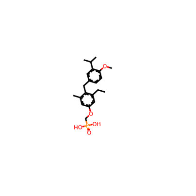 CCc1cc(OCP(=O)(O)O)cc(C)c1Cc1ccc(OC)c(C(C)C)c1